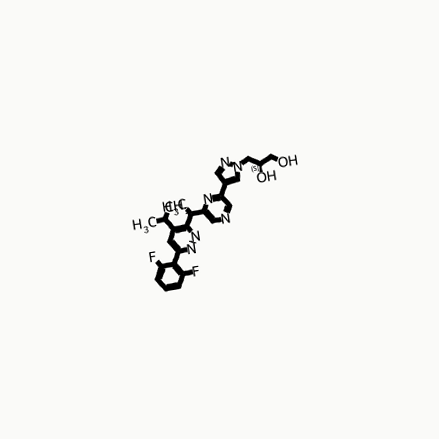 CC(C)c1cc(-c2c(F)cccc2F)nnc1C(C)c1cncc(-c2cnn(C[C@H](O)CO)c2)n1